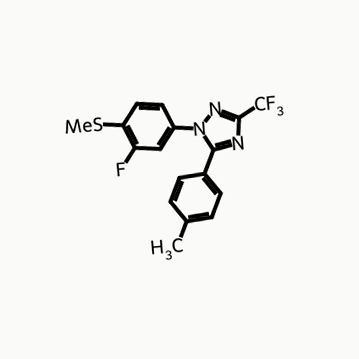 CSc1ccc(-n2nc(C(F)(F)F)nc2-c2ccc(C)cc2)cc1F